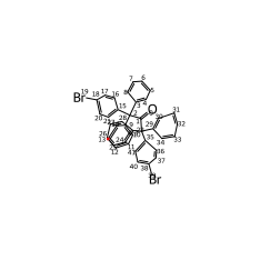 O=C(C(c1ccccc1)(c1ccccc1)c1ccc(Br)cc1)C(c1ccccc1)(c1ccccc1)c1ccc(Br)cc1